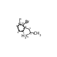 CC(C)Cc1cccc(I)c1Br